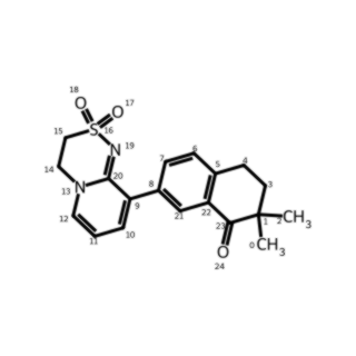 CC1(C)CCc2ccc(C3=CC=CN4CCS(=O)(=O)N=C34)cc2C1=O